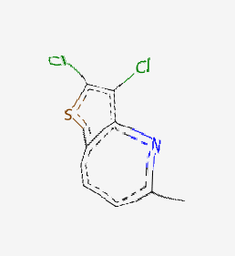 Cc1ccc2sc(Cl)c(Cl)c2n1